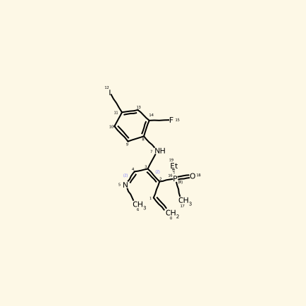 C=C/C(=C(\C=N/C)Nc1ccc(I)cc1F)[P@](C)(=O)CC